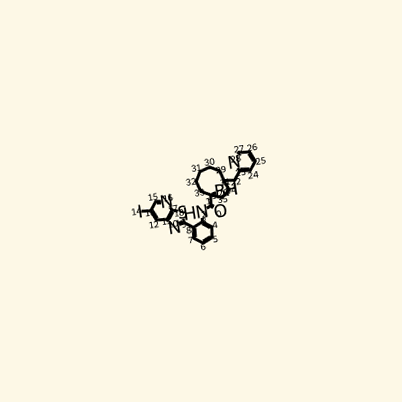 O=C(Nc1ccccc1-c1nc2cc(I)cnc2s1)C12BC(Cc3ccccn3)(CCCCC1)CC2